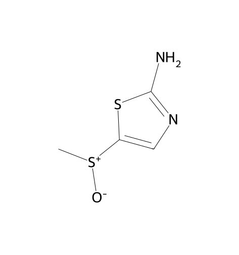 C[S+]([O-])c1cnc(N)s1